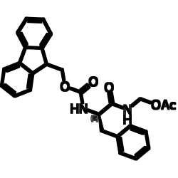 CC(=O)OCNC(=O)[C@@H](Cc1ccccc1)NC(=O)OCC1c2ccccc2-c2ccccc21